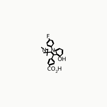 CN1CC(C)(c2c(-c3ccc(C(=O)O)cc3)c3c(O)cccc3n2-c2ccc(F)cc2)C1